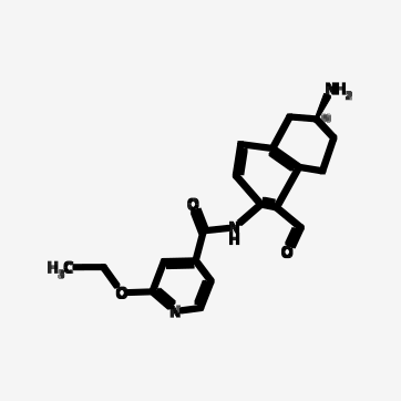 CCOc1cc(C(=O)Nc2ccc3c(c2C=O)CC[C@H](N)C3)ccn1